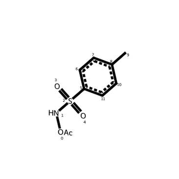 CC(=O)ONS(=O)(=O)c1ccc(C)cc1